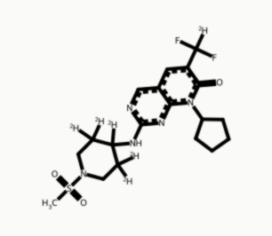 [2H]C(F)(F)c1cc2cnc(NC3([2H])C([2H])([2H])CN(S(C)(=O)=O)CC3([2H])[2H])nc2n(C2CCCC2)c1=O